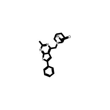 Cc1nc(CN2CC3CCC2C(=O)N3)c2cc(-c3ccccc3)sc2n1